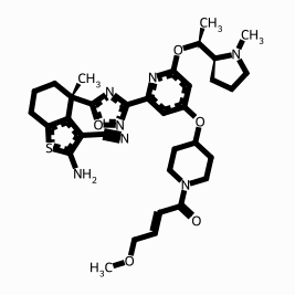 COC/C=C/C(=O)N1CCC(Oc2cc(O[C@@H](C)[C@@H]3CCCN3C)nc(-c3noc([C@@]4(C)CCCc5sc(N)c(C#N)c54)n3)c2)CC1